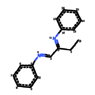 CCC(C=Nc1ccccc1)=Nc1ccccc1